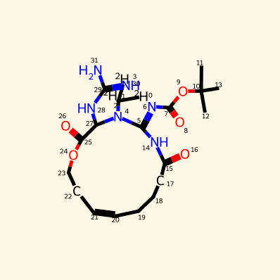 [2H]C([2H])([2H])N1C(=NC(=O)OC(C)(C)C)NC(=O)CCCC=CCCOC(=O)C1NC(=N)N